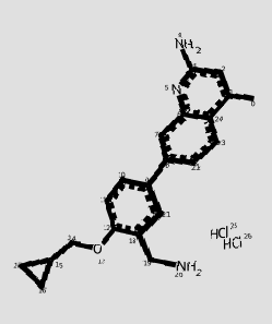 Cc1cc(N)nc2cc(-c3ccc(OCC4CC4)c(CN)c3)ccc12.Cl.Cl